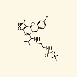 Cc1noc2nc(C(NCCCNC(=O)OC(C)(C)C)C(C)C)n(Cc3ccc(F)cc3)c(=O)c12